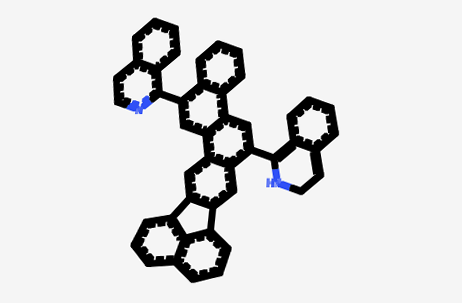 C1=c2ccccc2=C(c2cc3c4ccccc4c(-c4nccc5ccccc45)cc3c3cc4c(cc23)-c2cccc3cccc-4c23)NC1